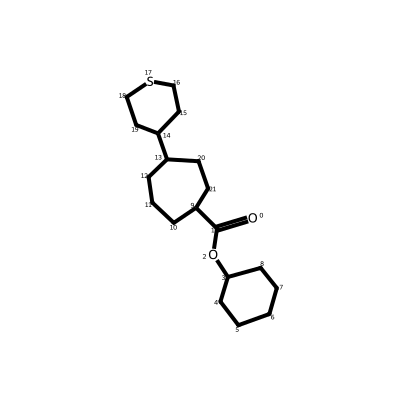 O=C(OC1CCCCC1)C1CCCC(C2CCSCC2)CC1